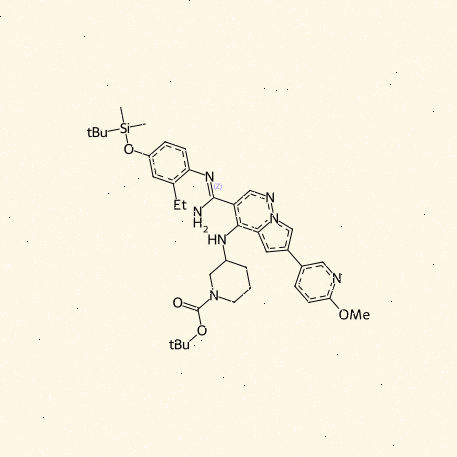 CCc1cc(O[Si](C)(C)C(C)(C)C)ccc1/N=C(\N)c1cnn2cc(-c3ccc(OC)nc3)cc2c1NC1CCCN(C(=O)OC(C)(C)C)C1